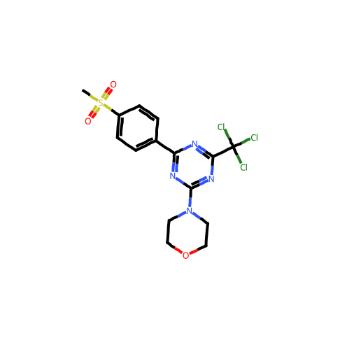 CS(=O)(=O)c1ccc(-c2nc(N3CCOCC3)nc(C(Cl)(Cl)Cl)n2)cc1